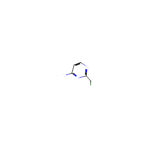 Nc1ccnc(CF)n1